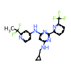 CC(F)(F)c1cc(Nc2cc(NCC3CC3)nc(-c3cccc(C(F)(F)F)n3)n2)ccn1